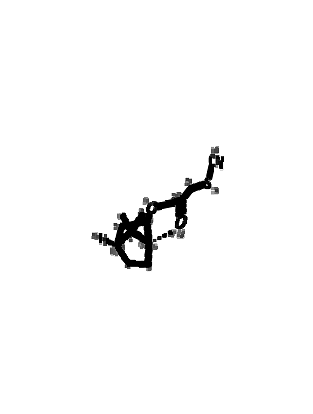 CC1(C)[C@@H]2CC[C@]1(C)C(OC(=O)CSC#N)C2